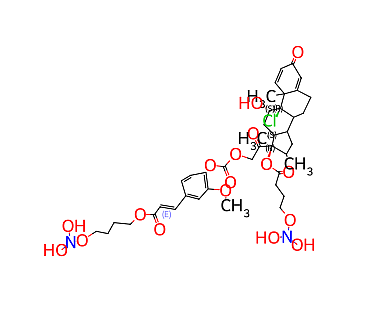 COc1cc(/C=C/C(=O)OCCCCON(O)O)ccc1OC(=O)OCC(=O)[C@@]1(OC(=O)CCCON(O)O)C(C)CC2C3CCC4=CC(=O)C=CC4(C)[C@@]3(Cl)[C@@H](O)C[C@@]21C